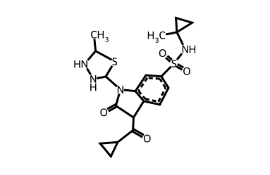 CC1NNC(N2C(=O)C(C(=O)C3CC3)c3ccc(S(=O)(=O)NC4(C)CC4)cc32)S1